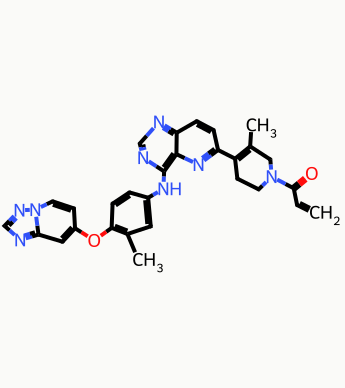 C=CC(=O)N1CCC(c2ccc3ncnc(Nc4ccc(Oc5ccn6ncnc6c5)c(C)c4)c3n2)=C(C)C1